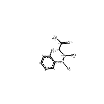 CCN(c1ccccc1C(F)(F)F)N(CC(N)=O)N=O